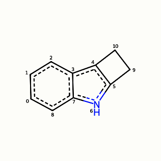 c1ccc2c3c([nH]c2c1)CC3